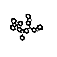 c1ccc(-n2c3ccc(N(c4ccc5c(c4)sc4ccccc45)c4ccc5oc6ccccc6c5c4)cc3c3cc(C4(c5ccccc5)c5ccccc5-c5ccccc54)ccc32)cc1